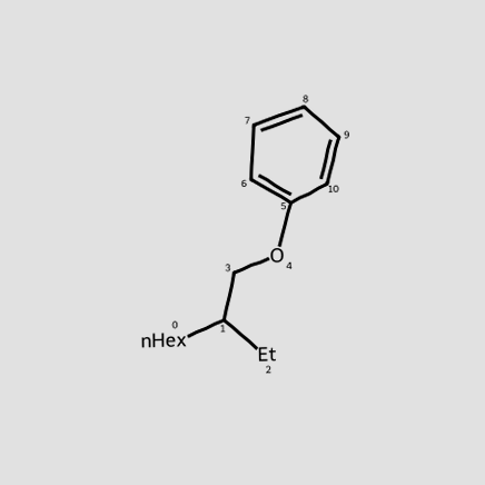 CCCCCCC(CC)COc1ccccc1